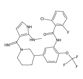 CNc1[nH]ccc1C(=N)N1CCCC(c2ccc(OC(F)(F)F)c(NC(=O)c3c(F)cccc3Cl)c2)C1